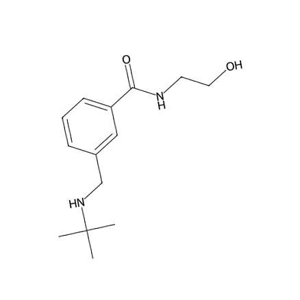 CC(C)(C)NCc1cccc(C(=O)NCCO)c1